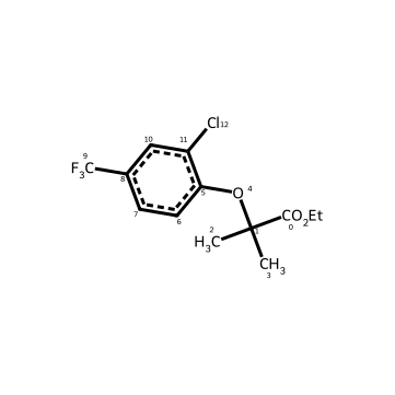 CCOC(=O)C(C)(C)Oc1ccc(C(F)(F)F)cc1Cl